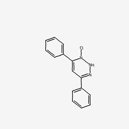 ClN1NN=C(c2ccccc2)C=C1c1ccccc1